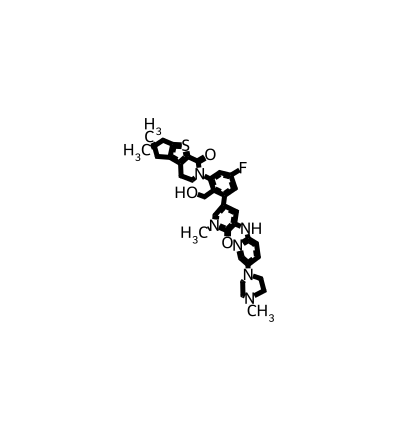 CN1CCN(c2ccc(Nc3cc(-c4cc(F)cc(N5CCc6c(sc7c6CC(C)(C)C7)C5=O)c4CO)cn(C)c3=O)nc2)CC1